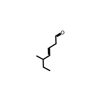 CCC(C)C=CCC=O